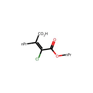 CCCOC(=O)C(Cl)=C(CCC)C(=O)O